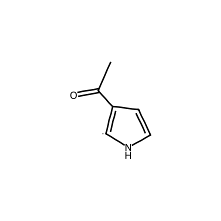 CC(=O)c1[c][nH]cc1